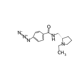 CCN1CCC[C@H]1CNC(=O)c1ccc(N=[N+]=[N-])cc1